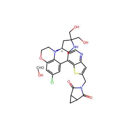 O=C1C2CC2C(=O)N1Cc1cc2nccc(-c3cc(Cl)cc4c3N([C@@H]3CNC(CO)(CO)C3)CCO4)c2s1.O=CO